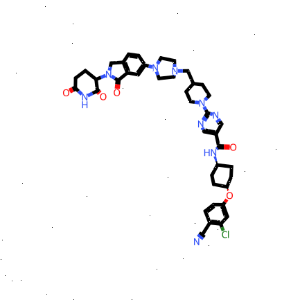 N#Cc1ccc(O[C@H]2CC[C@H](NC(=O)c3cnc(N4CCC(CN5CCN(c6ccc7c(c6)C(=O)N(C6CCC(=O)NC6=O)C7)CC5)CC4)nc3)CC2)cc1Cl